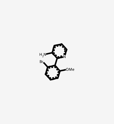 COc1cccc(Br)c1-c1ncccc1N